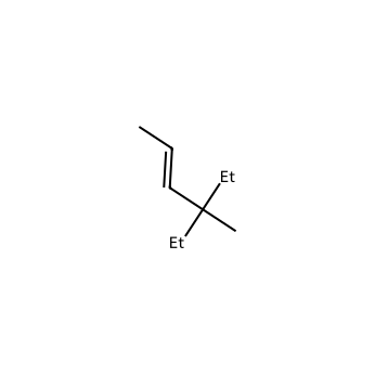 CC=CC(C)(CC)CC